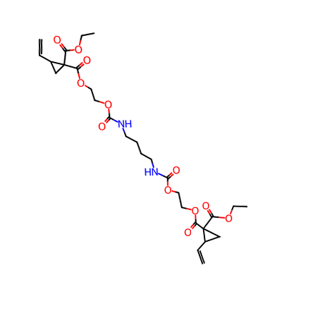 C=CC1CC1(C(=O)OCC)C(=O)OCCOC(=O)NCCCCNC(=O)OCCOC(=O)C1(C(=O)OCC)CC1C=C